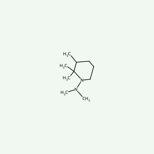 CC1CCCN(N(C)C)C1(C)C